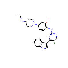 CCNC1CCN(c2ccc(Nc3ncc(Cl)c(-c4c[nH]c5ccccc45)n3)c(OC)c2)CC1